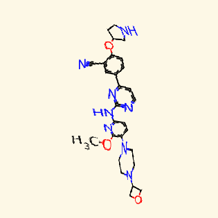 COc1nc(Nc2nccc(-c3ccc(OC4CCNC4)c(C#N)c3)n2)ccc1N1CCN(C2COC2)CC1